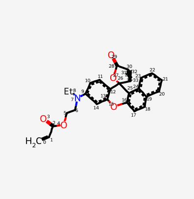 C=CC(=O)OCCN(CC)c1ccc2c(c1)Oc1ccc3ccccc3c1C21OC(=O)c2ccccc21